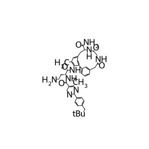 Cc1cc2cc(c1NC(=O)[C@H](CCN)NC(=O)c1cnc(-c3ccc(CC(C)(C)C)cc3)nc1C)-c1cccc(c1)CC(=O)NCC(=O)NC(C(N)=O)C2